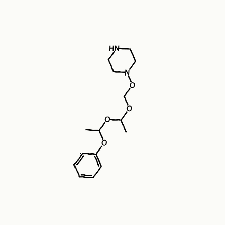 CC(OCON1CCNCC1)OC(C)Oc1[c]cccc1